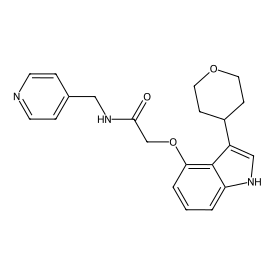 O=C(COc1cccc2[nH]cc(C3CCOCC3)c12)NCc1ccncc1